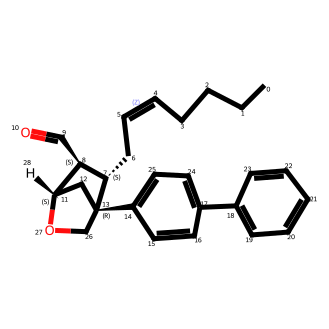 CCCC/C=C\C[C@H]1[C@H](C=O)[C@@H]2C[C@@]1(c1ccc(-c3ccccc3)cc1)CO2